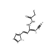 CCC(=O)NNC(C=Cc1ccco1)=NC#N